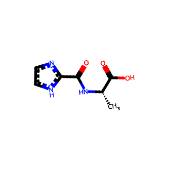 C[C@H](NC(=O)c1ncc[nH]1)C(=O)O